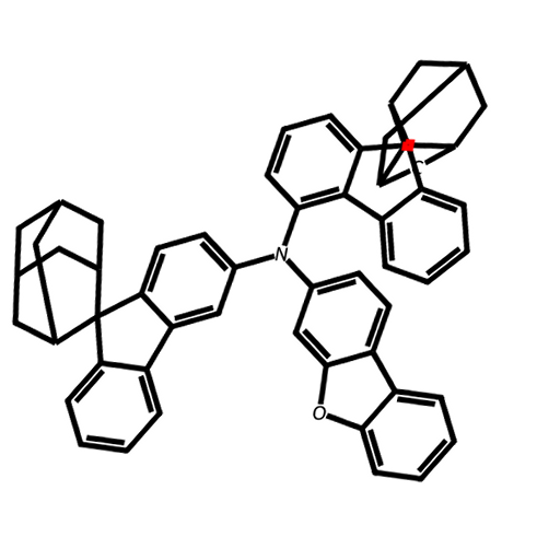 c1ccc2c(c1)-c1cc(N(c3ccc4c(c3)oc3ccccc34)c3cccc4c3-c3ccccc3C43C4CC5CC(C4)CC3C5)ccc1C21C2CC3CC(C2)CC1C3